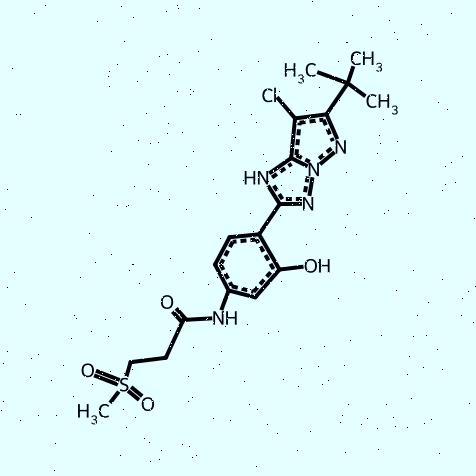 CC(C)(C)c1nn2nc(-c3ccc(NC(=O)CCS(C)(=O)=O)cc3O)[nH]c2c1Cl